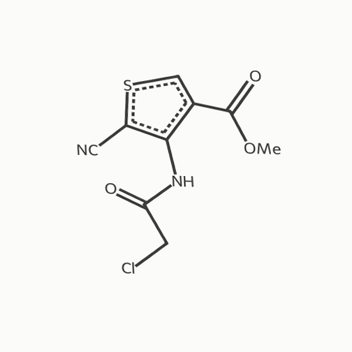 COC(=O)c1csc(C#N)c1NC(=O)CCl